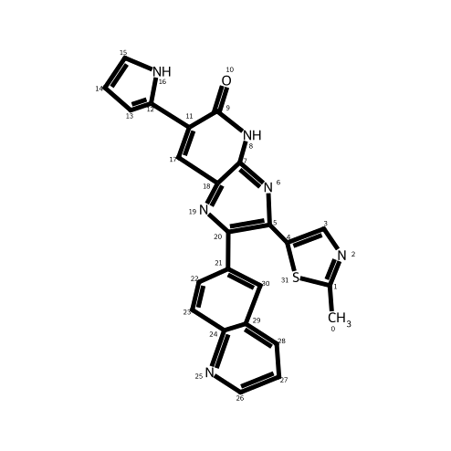 Cc1ncc(-c2nc3[nH]c(=O)c(-c4ccc[nH]4)cc3nc2-c2ccc3ncccc3c2)s1